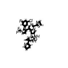 O=S(=O)(N[C@H]1CC2=C(c3ccn(C(F)F)n3)[C@H](c3ccc(F)cc3Cl)N=C(c3nccs3)N2C1)NC1(c2ccccn2)CC1